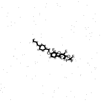 CCCCC1CCC(COc2ccc3c(oc4c(F)c(OC(F)(F)F)ccc43)c2F)CC1